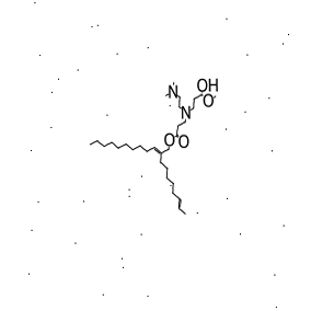 C/C=C/CCCCC/C(=C\CCCCCCCCC)COC(=O)CCN(CC[C@H](O)OC)CCN(C)C